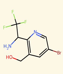 NC(c1ncc(Br)cc1CO)C(F)(F)F